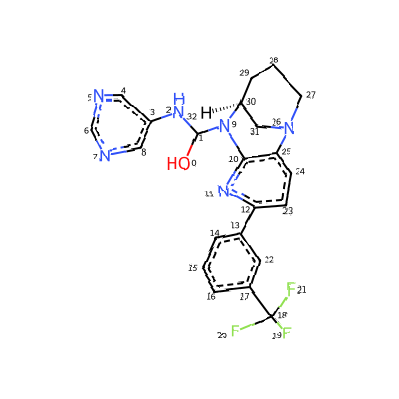 OC(Nc1cncnc1)N1c2nc(-c3cccc(C(F)(F)F)c3)ccc2N2CCC[C@H]1C2